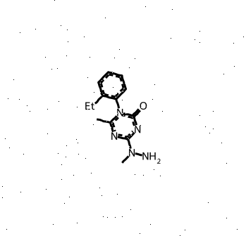 CCc1ccccc1-n1c(C)nc(N(C)N)nc1=O